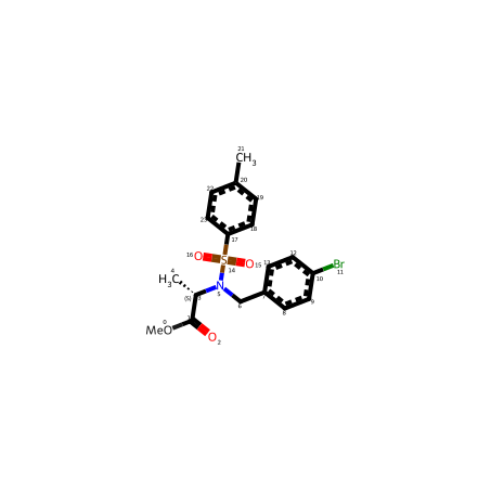 COC(=O)[C@H](C)N(Cc1ccc(Br)cc1)S(=O)(=O)c1ccc(C)cc1